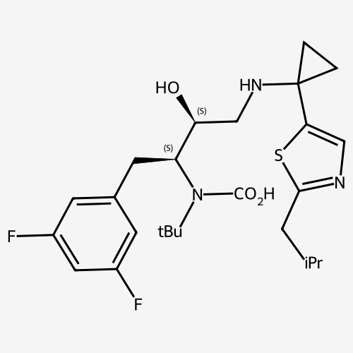 CC(C)Cc1ncc(C2(NC[C@H](O)[C@H](Cc3cc(F)cc(F)c3)N(C(=O)O)C(C)(C)C)CC2)s1